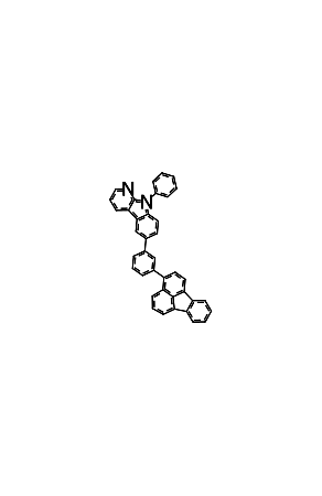 c1ccc(-n2c3ccc(-c4cccc(-c5ccc6c7c(cccc57)-c5ccccc5-6)c4)cc3c3cccnc32)cc1